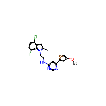 CCOc1csc(-c2cc(NCCn3c(C)cc4c(Cl)ccc(F)c43)ncn2)c1